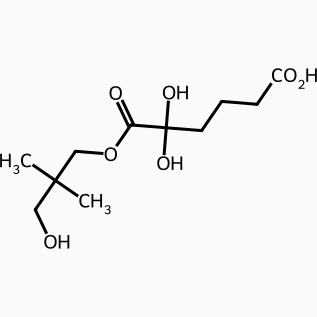 CC(C)(CO)COC(=O)C(O)(O)CCCC(=O)O